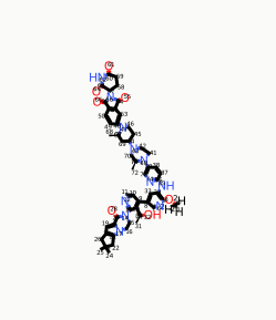 [2H]C([2H])([2H])Oc1ncc(-c2ccnc(N3CCn4c(cc5c4CC(C)(C)C5)C3=O)c2[C@H](C)O)cc1Nc1ccc(N2CCN(C3CCN(c4ccc5c(c4)C(=O)N(C4CCC(=O)NC4=O)C5=O)[C@H](C)C3)C[C@@H]2C)cn1